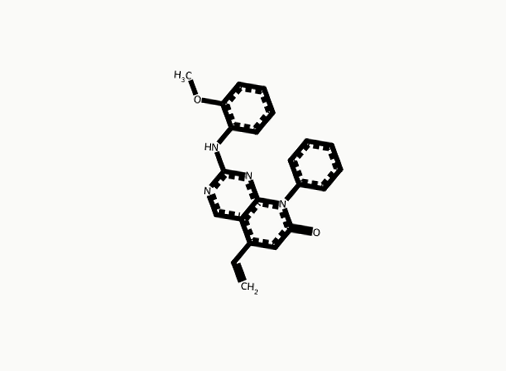 C=Cc1cc(=O)n(-c2ccccc2)c2nc(Nc3ccccc3OC)ncc12